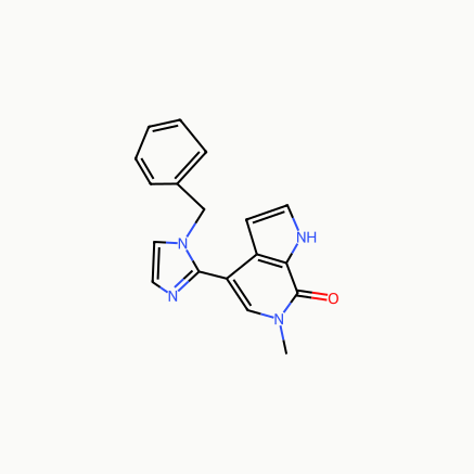 Cn1cc(-c2nccn2Cc2ccccc2)c2cc[nH]c2c1=O